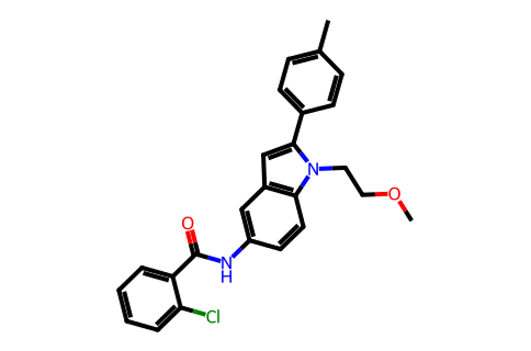 COCCn1c(-c2ccc(C)cc2)cc2cc(NC(=O)c3ccccc3Cl)ccc21